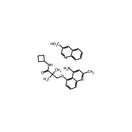 Cc1cc(N)c2c(OCC(C)(C)C(=O)NC3CCC3)cccc2n1.O=C(O)c1cnc2ccccc2c1